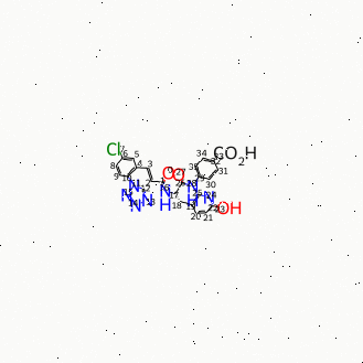 O=C(C=Cc1cc(Cl)ccc1-n1cnnn1)N[C@@H](Cc1ccc(O)nc1)C(=O)Nc1ccc(C(=O)O)cc1